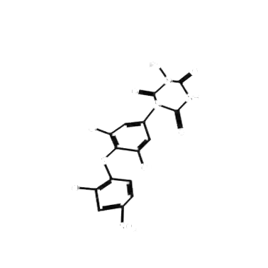 CC(C)n1c(=O)[nH]c(=O)n(-c2cc(Cl)c(Sc3ccc([N+](=O)[O-])cc3Cl)c(Cl)c2)c1=O